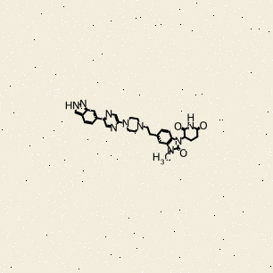 Cn1c(=O)n(C2CCC(=O)NC2=O)c2ccc(CCN3CCN(c4cnc(-c5ccc6c[nH]nc6c5)cn4)CC3)cc21